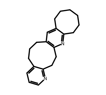 c1cnc2c(c1)CCCc1cc3c(nc1CC2)CCCCCC3